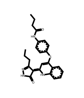 CCCC(=O)Nc1ccc(SC2=C/C(=C3/C(=O)NN=C3CCC)Nc3ccccc32)cc1